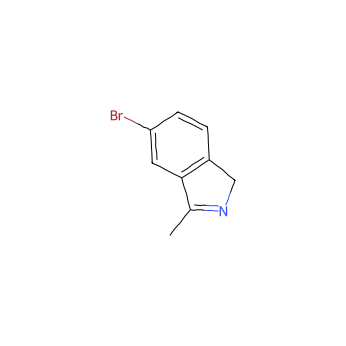 CC1=NCc2ccc(Br)cc21